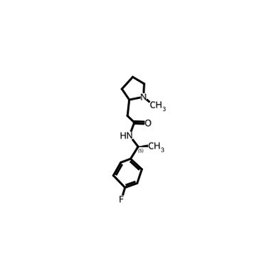 C[C@H](NC(=O)CC1CCCN1C)c1ccc(F)cc1